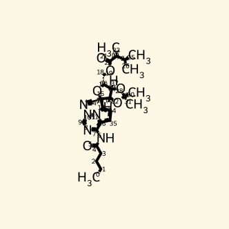 CCCCC(=O)Nc1ncnn2c([C@]3(C#N)O[C@H](COC(=O)[C@@H](C)C(C)C)[C@H]4OC(C)(C)O[C@H]43)ccc12